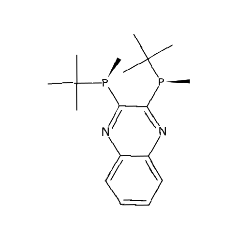 C[P@@](c1nc2ccccc2nc1[P@](C)C(C)(C)C)C(C)(C)C